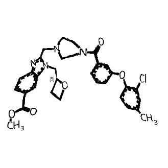 COC(=O)c1ccc2nc(CN3CCN(C(=O)c4cccc(Oc5ccc(C)cc5Cl)c4)CC3)n(C[C@@H]3CCO3)c2c1